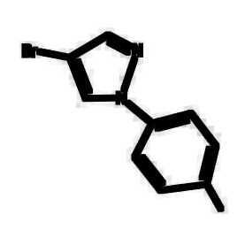 Cc1ccc(-n2cc(Br)cn2)cc1